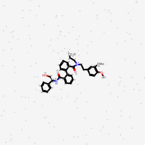 CCOc1ccc(CCN(CCC(=O)O)C(=O)c2ccccc2-c2ccccc2C(=O)N[C@H](CO)c2ccccc2)cc1OC